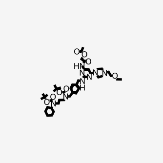 CCOCCN1CCN(c2cc(NC(=O)COC(C)=O)nc(NCc3ccc(CN(CCCN(C(=O)OC(C)(C)C)C4CCCCC4)C(=O)OC(C)(C)C)cc3)n2)CC1